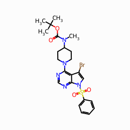 CN(C(=O)OC(C)(C)C)C1CCN(c2ncnc3c2c(Br)cn3S(=O)(=O)c2ccccc2)CC1